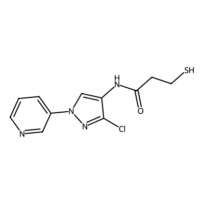 O=C(CCS)Nc1cn(-c2cccnc2)nc1Cl